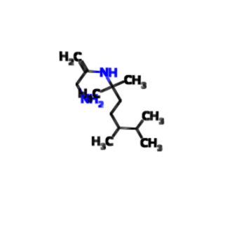 C=C(CN)NC(C)(C)CCC(C)C(C)C